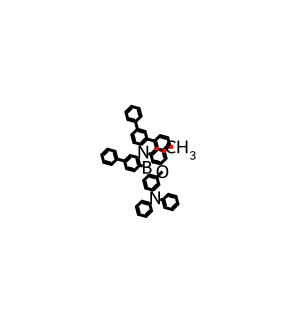 Cc1cc2c3c(c1)N(c1ccc(-c4ccccc4)cc1-c1ccccc1)c1cc(-c4ccccc4)ccc1B3c1ccc(N(c3ccccc3)c3ccccc3)cc1O2